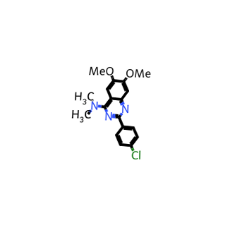 COc1cc2nc(-c3ccc(Cl)cc3)nc(N(C)C)c2cc1OC